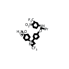 CC(C)C(=O)Nc1ccc([N+](=O)[O-])c(C(F)(F)F)c1.Cc1ccc(-c2cc(C(F)(F)F)nn2-c2ccc(S(N)(=O)=O)cc2)cc1